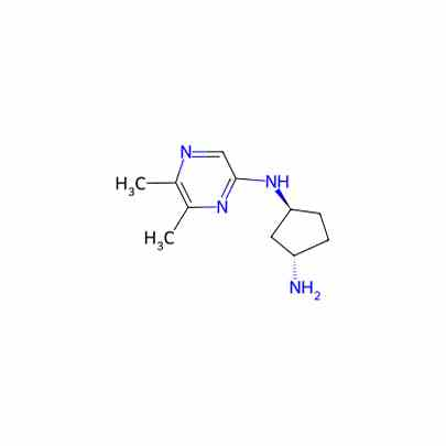 Cc1ncc(N[C@H]2CC[C@H](N)C2)nc1C